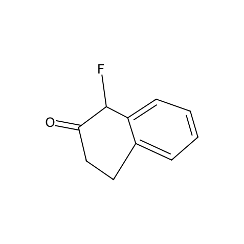 O=C1CCc2ccccc2C1F